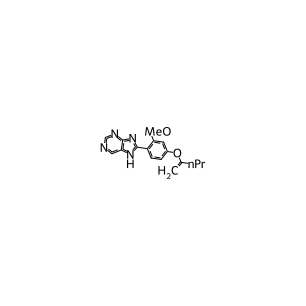 C=C(CCC)Oc1ccc(-c2nc3ncncc3[nH]2)c(OC)c1